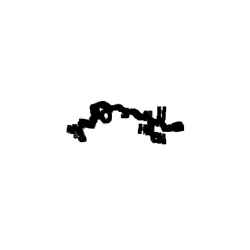 C#CCN/C(=N/CCSCc1ccc(CCN(C)C)o1)NC#N